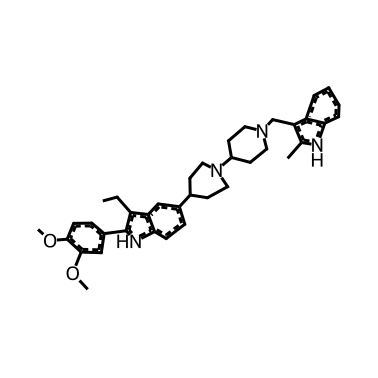 CCc1c(-c2ccc(OC)c(OC)c2)[nH]c2ccc(C3CCN(C4CCN(Cc5c(C)[nH]c6ccccc56)CC4)CC3)cc12